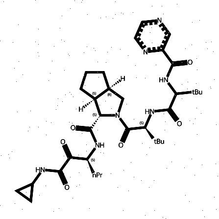 CCC[C@H](NC(=O)[C@@H]1[C@H]2CCC[C@H]2CN1C(=O)[C@@H](NC(=O)C(NC(=O)c1cnccn1)C(C)(C)C)C(C)(C)C)C(=O)C(=O)NC1CC1